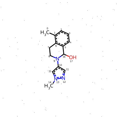 Cc1cccc2c1CCN(c1cnn(C)c1)C2O